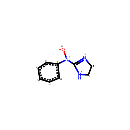 ON(C1=NCCN1)c1ccccc1